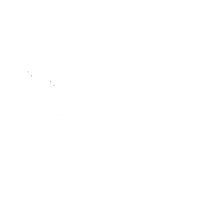 c1ccc(-c2nc3cccc4c3n2-c2ccc(-c3cc(-c5ccc6ccccc6c5)cc(-c5ccc6ccccc6c5)c3)cc2O4)cc1